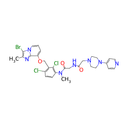 Cc1nc2c(OCc3c(Cl)ccc(N(C)C(=O)CNC(=O)CN4CCN(c5ccncc5)CC4)c3Cl)cccn2c1Br